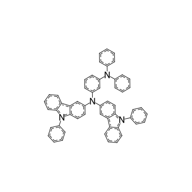 c1ccc(N(c2ccccc2)c2cccc(N(c3ccc4c(c3)c3ccccc3n4-c3ccccc3)c3ccc4c(c3)c3ccccc3n4-c3ccccc3)c2)cc1